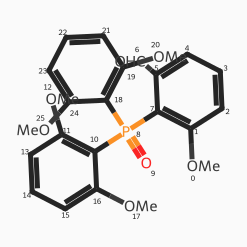 COc1cccc(C=O)c1P(=O)(c1c(OC)cccc1OC)c1c(OC)cccc1OC